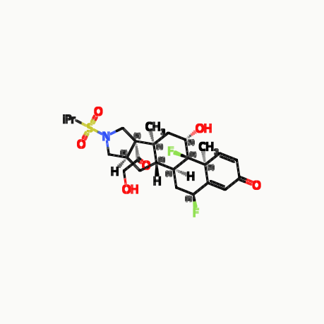 CC(C)S(=O)(=O)N1C[C@@H]2C[C@H]3[C@@H]4C[C@H](F)C5=CC(=O)C=C[C@]5(C)[C@@]4(F)[C@@H](O)C[C@]3(C)[C@]2(C(=O)CO)C1